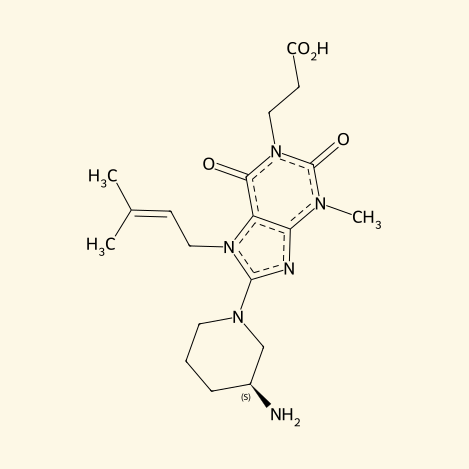 CC(C)=CCn1c(N2CCC[C@H](N)C2)nc2c1c(=O)n(CCC(=O)O)c(=O)n2C